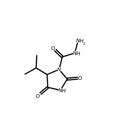 CC(C)C1C(=O)NC(=O)N1C(=O)NN